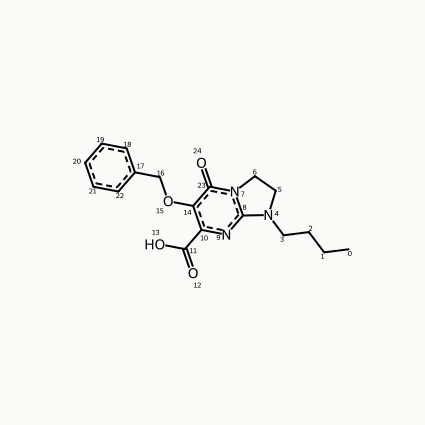 CCCCN1CCn2c1nc(C(=O)O)c(OCc1ccccc1)c2=O